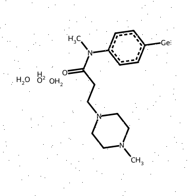 CN1CCN(CCC(=O)N(C)c2cc[c]([Ge])cc2)CC1.O.O.O